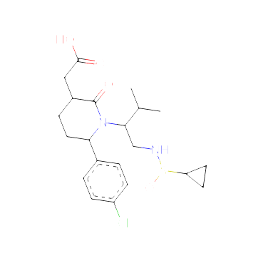 CC(C)C(CN[S+]([O-])C1CC1)N1C(=O)C(CC(=O)O)CCC1c1ccc(Cl)cc1